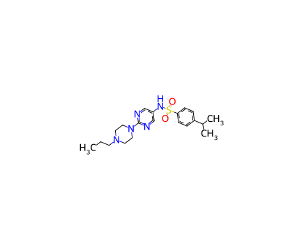 CCCN1CCN(c2ncc(NS(=O)(=O)c3ccc(C(C)C)cc3)cn2)CC1